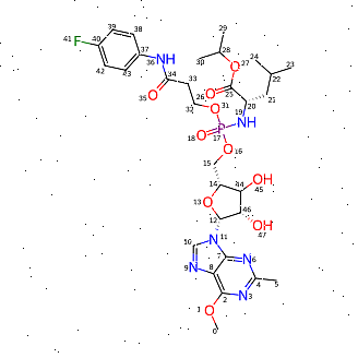 COc1nc(C)nc2c1ncn2[C@@H]1O[C@H](COP(=O)(N[C@@H](CC(C)C)C(=O)OC(C)C)OCCC(=O)Nc2ccc(F)cc2)C(O)[C@@H]1O